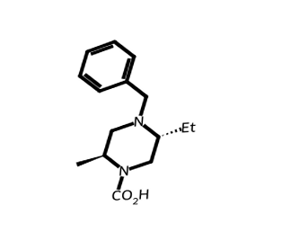 CC[C@@H]1CN(C(=O)O)[C@@H](C)CN1Cc1ccccc1